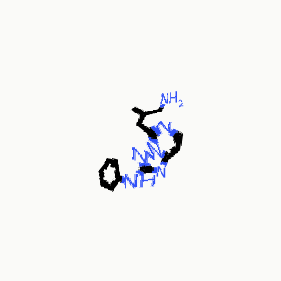 CC(CN)Cc1nccc2nc(Nc3ccccc3)nn12